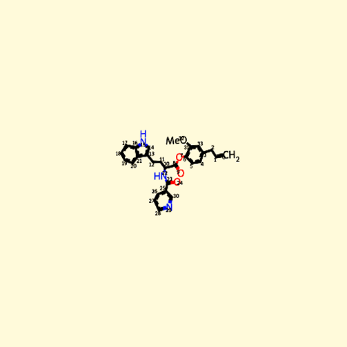 C=CCc1ccc(OC(=O)C(CCc2c[nH]c3ccccc23)NC(=O)c2cccnc2)c(OC)c1